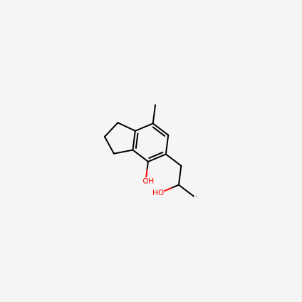 [CH2]C(O)Cc1cc(C)c2c(c1O)CCC2